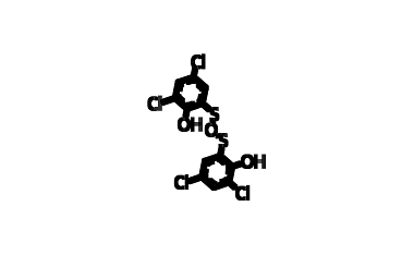 Oc1c(Cl)cc(Cl)cc1SOSc1cc(Cl)cc(Cl)c1O